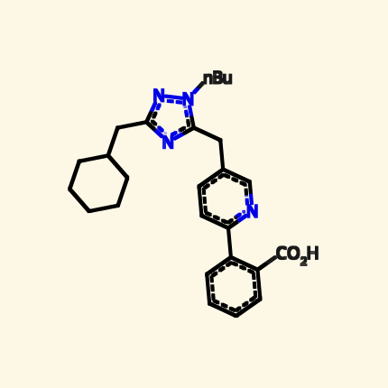 CCCCn1nc(CC2CCCCC2)nc1Cc1ccc(-c2ccccc2C(=O)O)nc1